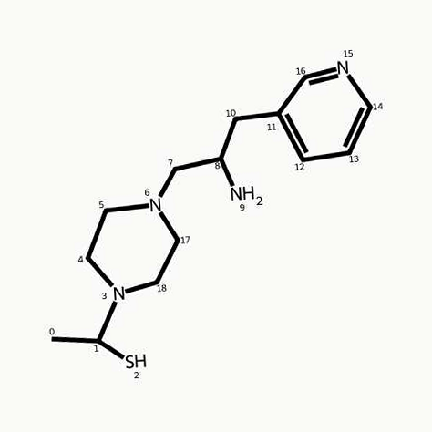 CC(S)N1CCN(CC(N)Cc2cccnc2)CC1